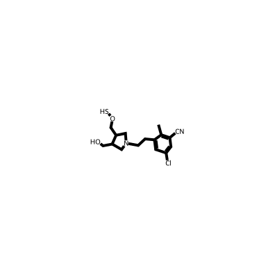 Cc1c(C#N)cc(Cl)cc1CCN1CC(CO)C(COS)C1